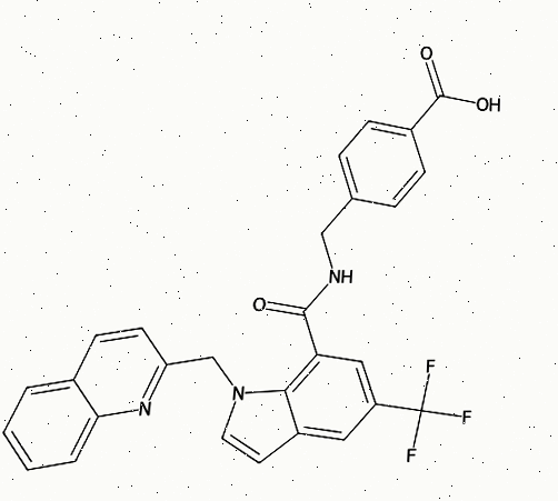 O=C(O)c1ccc(CNC(=O)c2cc(C(F)(F)F)cc3ccn(Cc4ccc5ccccc5n4)c23)cc1